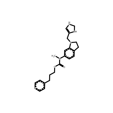 CN(C(=O)OCCCc1ccncc1)c1ccc2c(c1)N(CC1=CNCN1)CC2